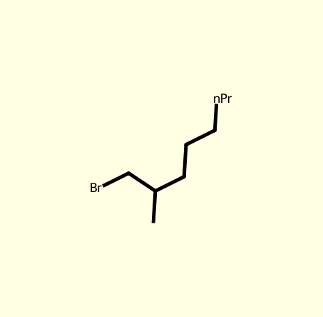 CCCCCCC(C)CBr